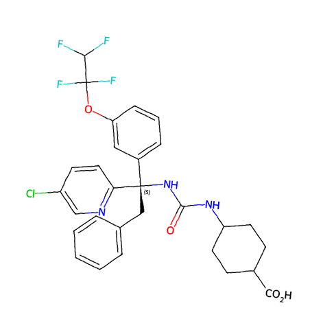 O=C(NC1CCC(C(=O)O)CC1)N[C@@](Cc1ccccc1)(c1cccc(OC(F)(F)C(F)F)c1)c1ccc(Cl)cn1